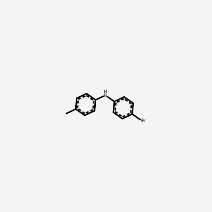 Cc1ccc(Bc2ccc(C(C)C)cc2)cc1